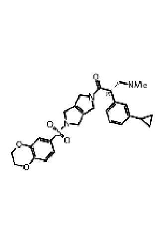 CNC[C@@H](C(=O)N1CC2=C(C1)CN(S(=O)(=O)c1ccc3c(c1)OCCO3)C2)c1cccc(C2CC2)c1